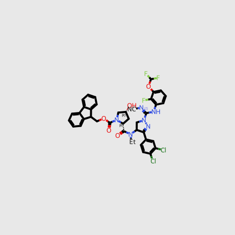 CCN(C(=O)[C@H]1C[C@@H](O)CN1C(=O)OCC1c2ccccc2-c2ccccc21)C1CN(/C(=N\C#N)Nc2cccc(OC(F)F)c2F)N=C1c1ccc(Cl)c(Cl)c1